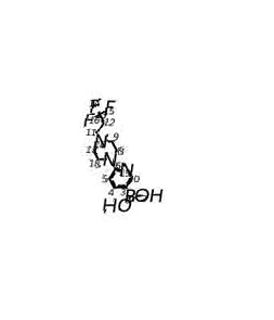 OB(O)c1ccc(N2CCN(CCC(F)(F)F)CC2)nc1